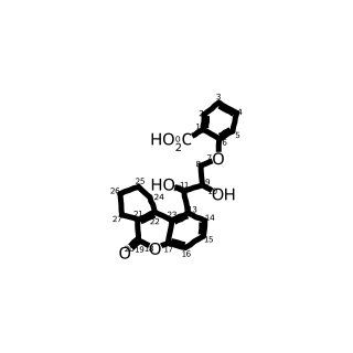 O=C(O)c1ccccc1OCC(O)C(O)c1cccc2oc(=O)c3c(c12)CCCC3